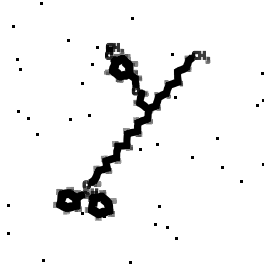 CCCCCCCCCC(CCCCCCCCCCCO[SiH](c1ccccc1)c1ccccc1)CCOCc1ccc(OC)cc1